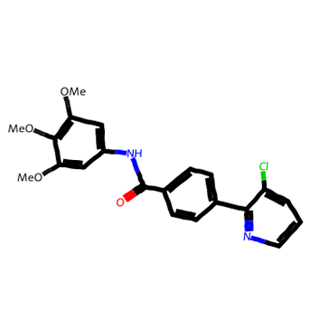 COc1cc(NC(=O)c2ccc(-c3ncccc3Cl)cc2)cc(OC)c1OC